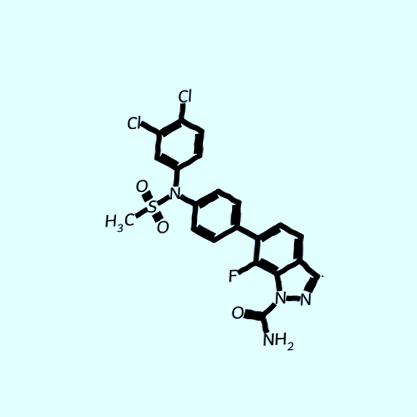 CS(=O)(=O)N(c1ccc(-c2ccc3[c]nn(C(N)=O)c3c2F)cc1)c1ccc(Cl)c(Cl)c1